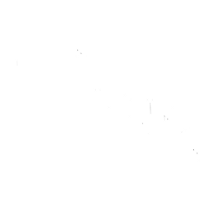 CN(CC(=O)CNO)C(=O)C1(c2ccc(OCc3cc(-c4ccc(F)cc4)no3)cc2)CC1